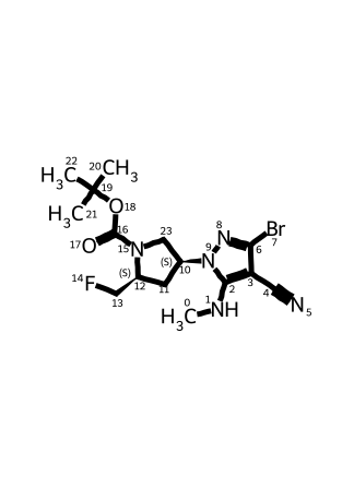 CNc1c(C#N)c(Br)nn1[C@H]1C[C@@H](CF)N(C(=O)OC(C)(C)C)C1